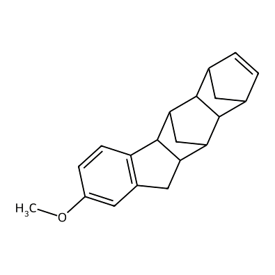 COc1ccc2c(c1)CC1C3CC(C21)C1C2C=CC(C2)C31